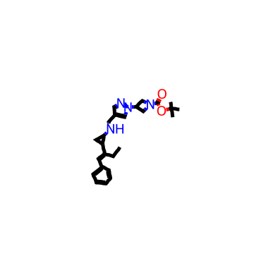 CC/C(=C\c1ccccc1)C1CC1NCc1cnn(C2CN(C(=O)OC(C)(C)C)C2)c1